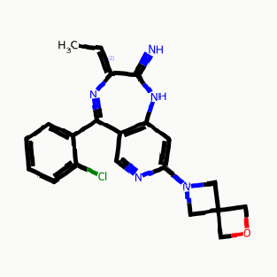 C/C=C1\N=C(c2ccccc2Cl)c2cnc(N3CC4(COC4)C3)cc2NC1=N